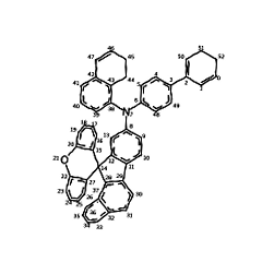 C1=CC(c2ccc(N(c3ccc4c(c3)C3(c5ccccc5Oc5ccccc53)c3c-4ccc4ccccc34)c3cccc4c3CCC=C4)cc2)=CCC1